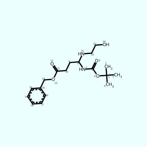 CC(C)(C)OC(=O)NC(CCC(=O)OCc1ccccc1)NCCO